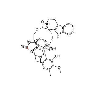 COc1c(C)cc2c(c1O)C1[C@@H]3[C@@H]4SC[C@]5(NCCc6c5[nH]c5ccccc65)C(=O)OC[C@@H](c5c6c(c(C)c(O)c54)OCO6)N3[C@@H](C#N)C(C2)N1C